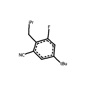 CC(C)Cc1c(F)cc(C(C)(C)C)cc1C#N